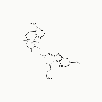 COCCN1CN(CCC2NC[C@@H]3CCc4c(OC)cccc4[C@H]23)C=c2sc3c(c21)NC=C(C)N=3